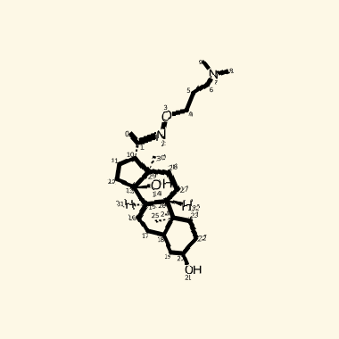 CC(=NOCCCN(C)C)[C@H]1CC[C@@]2(O)[C@@H]3CCC4CC(O)CC[C@]4(C)[C@H]3CC[C@]12C